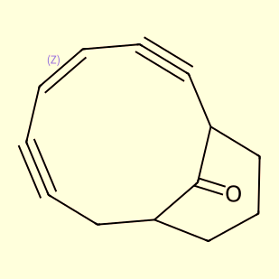 O=C1C2C#C/C=C\C#CCC1CCC2